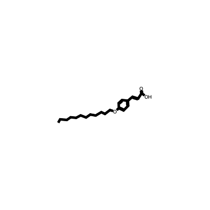 CCCCCCCCCCCCOc1ccc(C=CC(=O)O)cc1